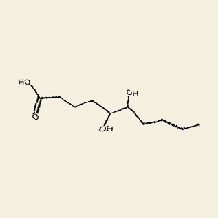 CCCCC(O)C(O)CCCC(=O)O